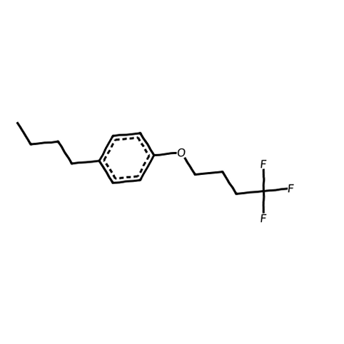 CCCCc1ccc(OCCCC(F)(F)F)cc1